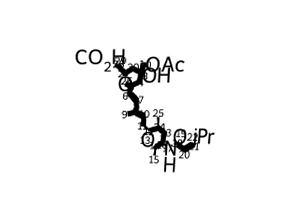 CC(=O)OCC1(O)CC(/C=C/C(C)=C/C[C@@H]2O[C@H](C)[C@H](NC(=O)/C=C\C(C)C)C[C@@H]2C)OC(CC(=O)O)C1